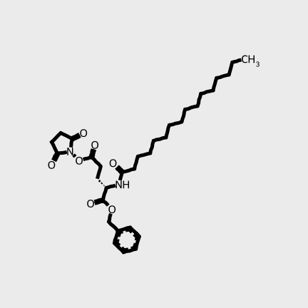 CCCCCCCCCCCCCCCC(=O)N[C@@H](CCC(=O)ON1C(=O)CCC1=O)C(=O)OCc1ccccc1